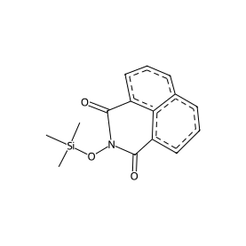 C[Si](C)(C)ON1C(=O)c2cccc3cccc(c23)C1=O